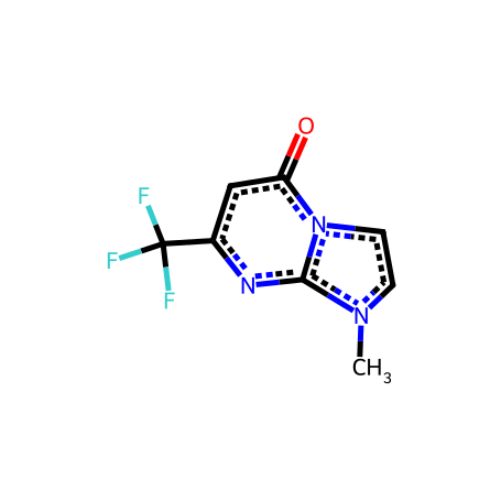 Cn1ccn2c(=O)cc(C(F)(F)F)nc12